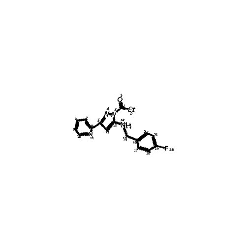 CCC(=O)n1nc(-c2ccccn2)cc1NCc1ccc(F)cc1